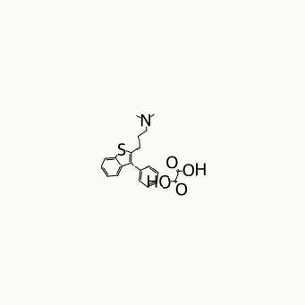 CN(C)CCCc1sc2ccccc2c1-c1ccccc1.O=C(O)C(=O)O